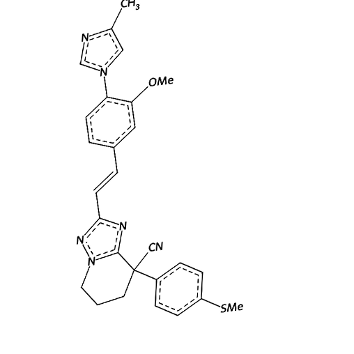 COc1cc(/C=C/c2nc3n(n2)CCCC3(C#N)c2ccc(SC)cc2)ccc1-n1cnc(C)c1